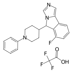 Fc1cccc2c1C(C1CCN(c3ccccc3)CC1)n1cncc1-2.O=C(O)C(F)(F)F